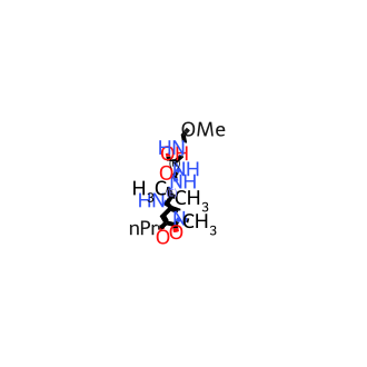 CCCC(=O)c1cc(C(=N)/C(C)=C(\C)NC(=O)N[C@@H](CO)CNCCOC)cn(C)c1=O